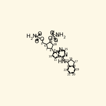 NS(=O)(=O)OCC1CC(c2ccc3c(NC4CCc5ccccc54)ncnn23)CC1OS(N)(=O)=O